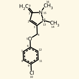 C=C1C=C(COc2ccc(Cl)cc2)N(C)N1C